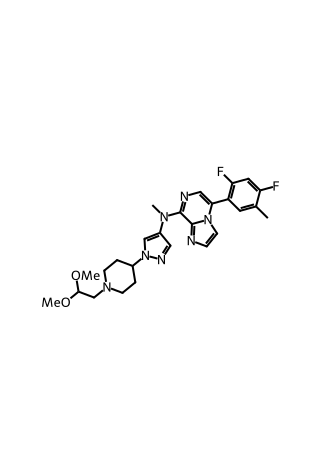 COC(CN1CCC(n2cc(N(C)c3ncc(-c4cc(C)c(F)cc4F)n4ccnc34)cn2)CC1)OC